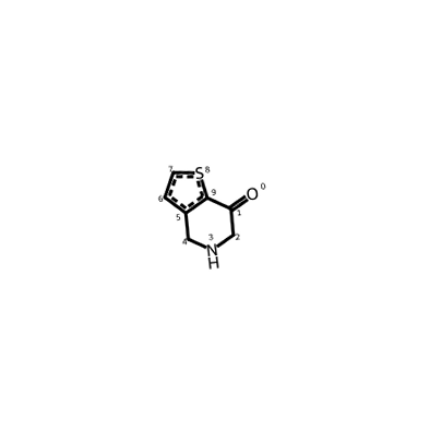 O=C1CNCc2ccsc21